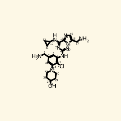 NCc1cc(Nc2nc(NC3CC3)c3ncc(CN)n3n2)c(Cl)c(N2CCC(O)CC2)c1